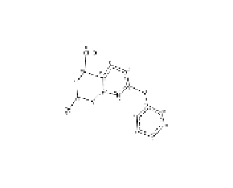 CCC1Cc2nc(Cc3ccccc3)ccc2C(C=O)C1